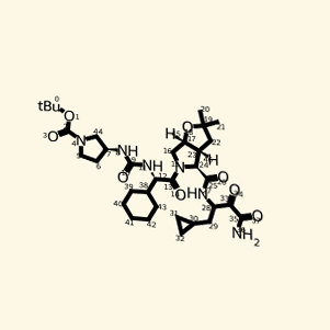 CC(C)(C)OC(=O)N1CC[C@H](NC(=O)N[C@H](C(=O)N2C[C@@H]3OC(C)(C)C[C@@H]3[C@H]2C(=O)NC(CC2CC2)C(=O)C(N)=O)C2CCCCC2)C1